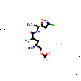 CCOC(=O)C(NC(=O)C(C)CC(N)COC(=O)C(F)(F)F)[C@H]1CC(Cl)=NO1